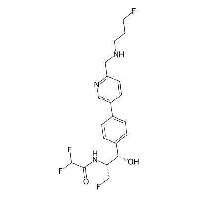 O=C(N[C@@H](CF)[C@@H](O)c1ccc(-c2ccc(CNCCCF)nc2)cc1)C(F)F